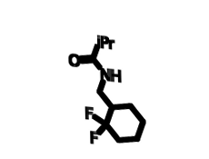 CC(C)C(=O)NCC1CCCCC1(F)F